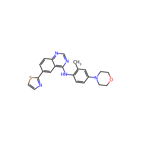 Cc1cc(N2CCOCC2)ccc1Nc1ncnc2ccc(-c3nccs3)cc12